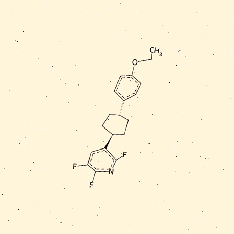 CCOc1ccc([C@H]2CC[C@H](c3cc(F)c(F)nc3F)CC2)cc1